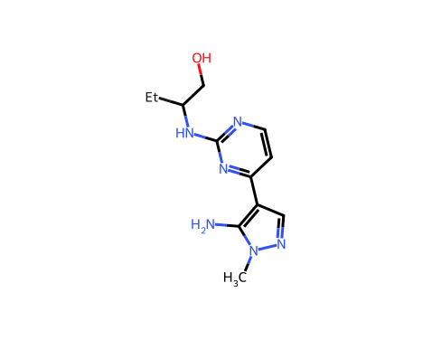 CCC(CO)Nc1nccc(-c2cnn(C)c2N)n1